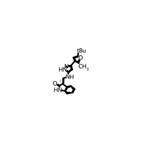 Cc1oc(C(C)(C)C)cc1-c1cc(N/C=C2/C(=O)Nc3ccccc32)[nH]n1